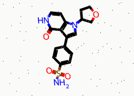 NS(=O)(=O)c1ccc(-c2cn(C3CCOC3)c3cc[nH]c(=O)c23)cc1